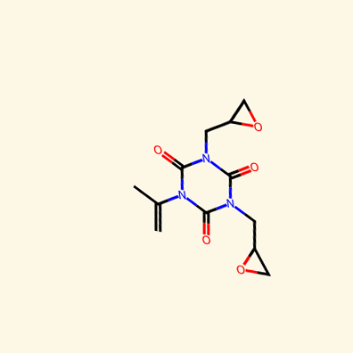 C=C(C)n1c(=O)n(CC2CO2)c(=O)n(CC2CO2)c1=O